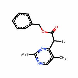 CCC(C(=O)OCc1ccccc1)c1nc(SC)ncc1C